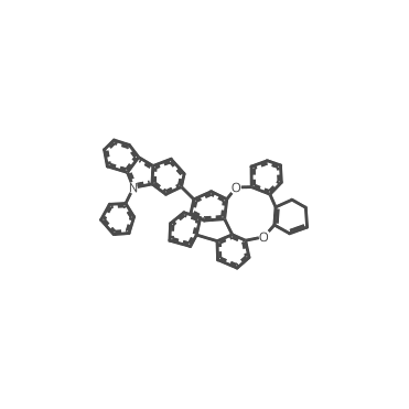 C1=CC2=C(CC1)c1ccccc1Oc1cc(-c3ccc4c5ccccc5n(-c5ccccc5)c4c3)ccc1-c1c(cccc1-c1ccccc1)O2